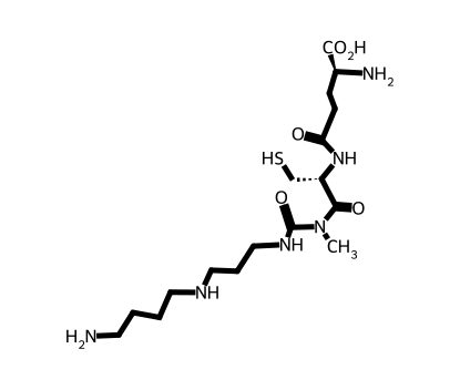 CN(C(=O)NCCCNCCCCN)C(=O)[C@H](CS)NC(=O)CC[C@H](N)C(=O)O